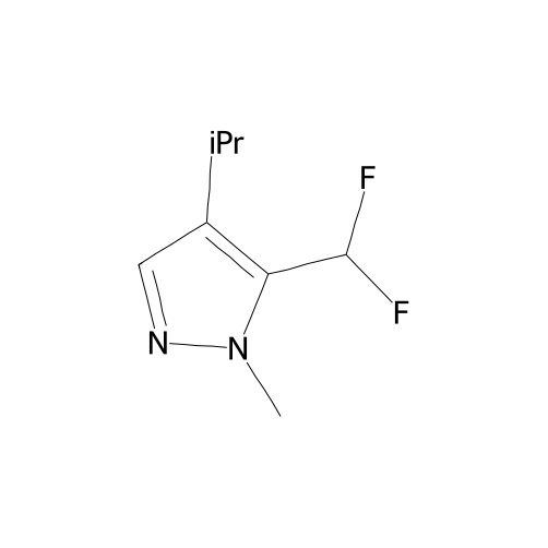 CC(C)c1cnn(C)c1C(F)F